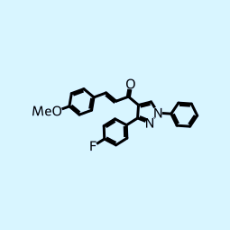 COc1ccc(C=CC(=O)c2cn(-c3ccccc3)nc2-c2ccc(F)cc2)cc1